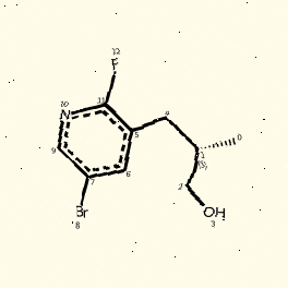 C[C@H](CO)Cc1cc(Br)cnc1F